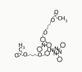 CCC1(COCCCCCOCc2ccc3c(c2)c2c(ccc4c5cc(COCCCCCOCC6(CC)COC6)ccc5n(-c5ccccc5)c42)n3-c2nc(-c3ccccc3)nc(-c3ccccc3)n2)COC1